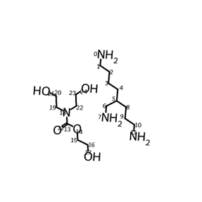 NCCCCC(CN)CCCN.O=C(OCCO)N(CCO)CCO